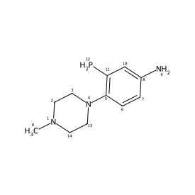 CN1CCN(c2ccc(N)cc2P)CC1